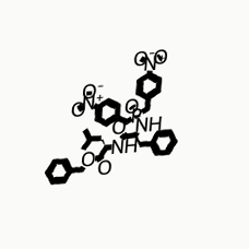 CC(C)C[C@H](NC(=O)[C@H](Cc1ccccc1)NP(=O)(Cc1ccc([N+](=O)[O-])cc1)Cc1ccc([N+](=O)[O-])cc1)C(=O)OCc1ccccc1